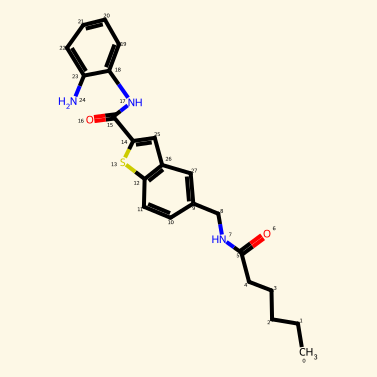 CCCCCC(=O)NCc1ccc2sc(C(=O)Nc3ccccc3N)cc2c1